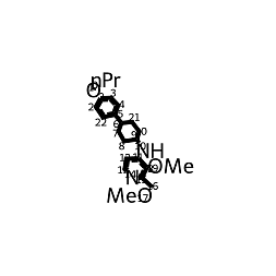 CCCOc1ccc(C2CCC(Nc3ccnc(COC)c3OC)CC2)cc1